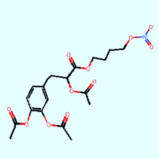 CC(=O)Oc1ccc(CC(OC(C)=O)C(=O)OCCCCO[N+](=O)[O-])cc1OC(C)=O